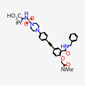 CNC(=O)COc1ccc(C#Cc2ccc(N3CCN(S(=O)(=O)NC(C(=O)O)C(C)C)CC3)cc2)cc1C(=O)NCc1ccccc1